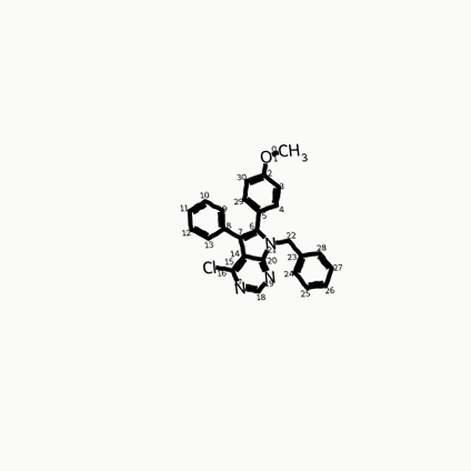 COc1ccc(-c2c(-c3ccccc3)c3c(Cl)ncnc3n2Cc2ccccc2)cc1